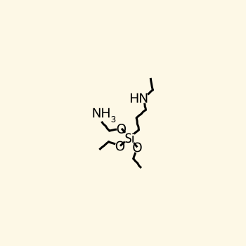 CCNCCC[Si](OCC)(OCC)OCC.N